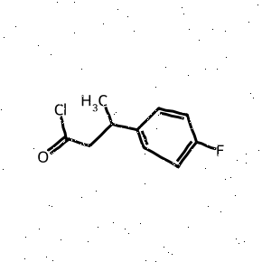 CC(CC(=O)Cl)c1ccc(F)cc1